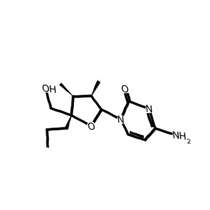 CCC[C@]1(CO)OC(n2ccc(N)nc2=O)[C@H](C)[C@@H]1C